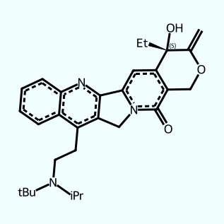 C=C1OCc2c(cc3n(c2=O)Cc2c-3nc3ccccc3c2CCN(C(C)C)C(C)(C)C)[C@@]1(O)CC